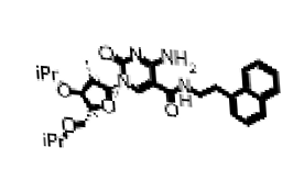 CC(C)OC[C@H]1O[C@@H](n2cc(C(=O)NCCc3cccc4ccccc34)c(N)nc2=O)[C@@H](C)C1OC(C)C